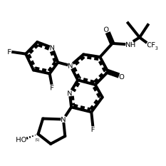 CC(C)(NC(=O)c1cn(-c2ncc(F)cc2F)c2nc(N3CC[C@H](O)C3)c(F)cc2c1=O)C(F)(F)F